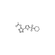 CC(=O)On1nnnc1-c1ccc(S(=O)(=O)N2CCCCC2)s1